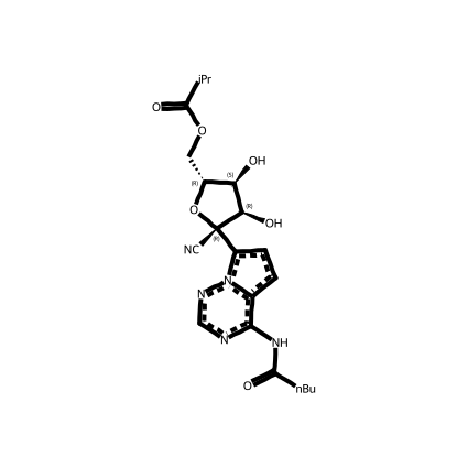 CCCCC(=O)Nc1ncnn2c([C@]3(C#N)O[C@H](COC(=O)C(C)C)[C@@H](O)[C@H]3O)ccc12